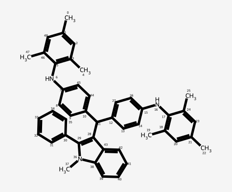 Cc1cc(C)c(Nc2ccc(C(c3ccc(Nc4c(C)cc(C)cc4C)cc3)c3c(-c4ccccc4)n(C)c4ccccc34)cc2)c(C)c1